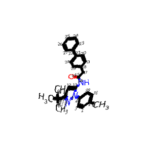 Cc1ccc(-n2nc(C(C)(C)C)cc2NC(=O)Cc2ccc(-c3ccccc3)cc2)cc1